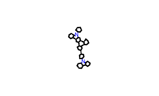 c1ccc(-n2c3ccccc3c3cc4c5ccc(-c6ccc(-n7c8ccccc8c8ccccc87)cc6)cc5c5ccccc5c4cc32)cc1